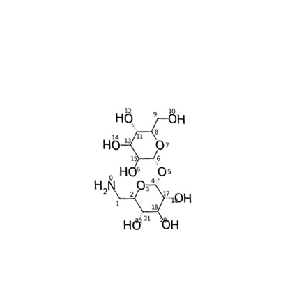 NCC1O[C@H](O[C@H]2OC(CO)[C@@H](O)C(O)C2O)[C@H](O)C(O)[C@@H]1O